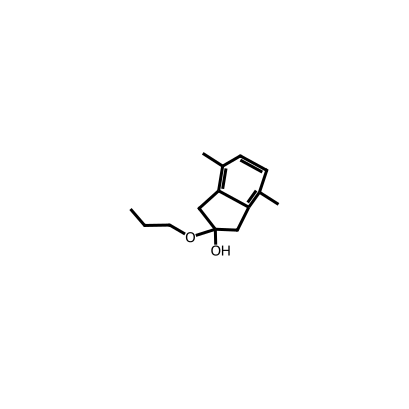 CCCOC1(O)Cc2c(C)ccc(C)c2C1